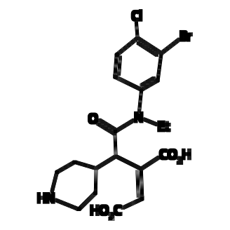 CCN(C(=O)C(/C(=C\C(=O)O)C(=O)O)C1CCNCC1)c1ccc(Cl)c(Br)c1